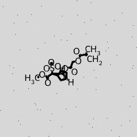 C=C(C)C(=O)OCC(=O)OC1[C@@H]2CC3[C@H](C2)OS(=O)(=O)C13C(=O)OC